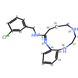 Clc1cccc(CN/C2=N/c3ccccc3NCCNCCC2)c1